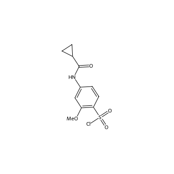 COc1cc(NC(=O)C2CC2)ccc1S(=O)(=O)Cl